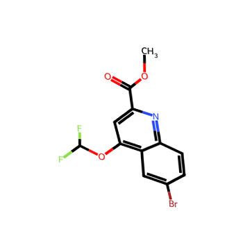 COC(=O)c1cc(OC(F)F)c2cc(Br)ccc2n1